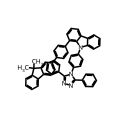 CC1(C)c2ccccc2-c2ccc(-c3ccc(-c4cccc5c6ccccc6n(-c6ccc(-n7c(-c8ccccc8)nnc7-c7ccccc7)cc6)c45)cc3)cc21